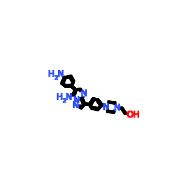 Nc1ccc(-c2cnc3c(-c4ccc(N5CCN(CCO)CC5)cc4)cnn3c2N)cc1